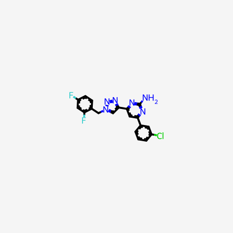 Nc1nc(-c2cccc(Cl)c2)cc(-c2cn(Cc3ccc(F)cc3F)nn2)n1